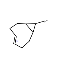 CC(C)C1C2CC/C=C/CCC21